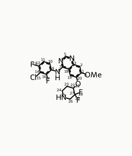 COc1cc2ncnc(Nc3ccc(F)c(Cl)c3F)c2cc1OC1CCNCC1(F)F